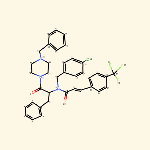 O=C(C(Cc1ccccc1)N(Cc1ccc(Cl)cc1)C(=O)C=Cc1ccc(C(F)(F)F)cc1)N1CCN(Cc2ccccc2)CC1